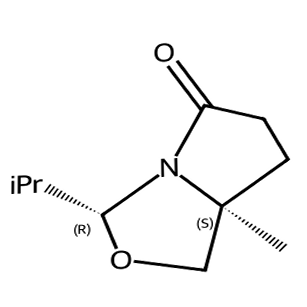 CC(C)[C@H]1OC[C@]2(C)CCC(=O)N12